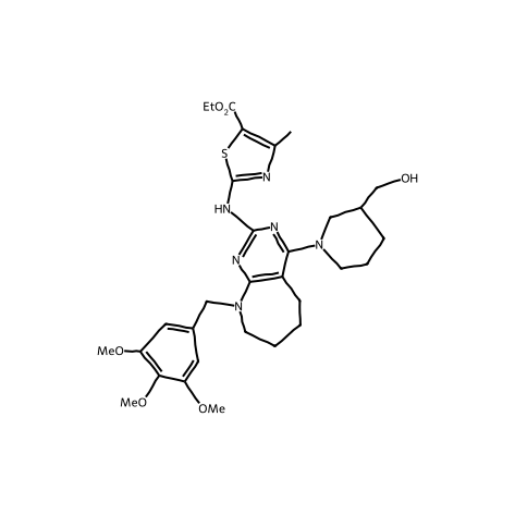 CCOC(=O)c1sc(Nc2nc3c(c(N4CCCC(CO)C4)n2)CCCCN3Cc2cc(OC)c(OC)c(OC)c2)nc1C